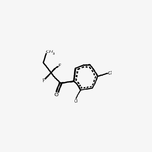 CCC(F)(F)C(=O)c1ccc(Cl)cc1Cl